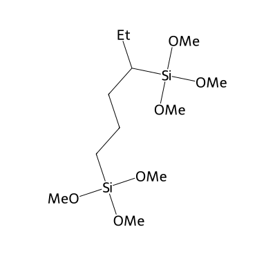 CCC(CCC[Si](OC)(OC)OC)[Si](OC)(OC)OC